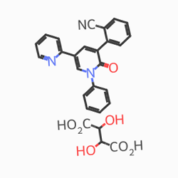 N#Cc1ccccc1-c1cc(-c2ccccn2)cn(-c2ccccc2)c1=O.O=C(O)C(O)C(O)C(=O)O